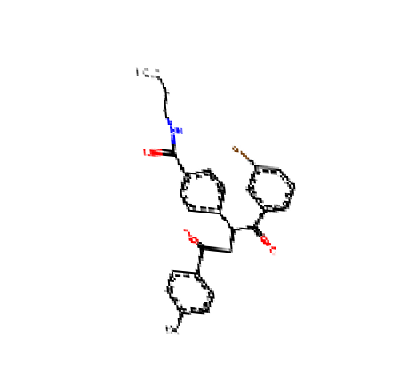 CC(C)(C)c1ccc(C(=O)CC(C(=O)c2cccc(Br)c2)c2ccc(C(=O)NCCC(=O)O)cc2)cc1